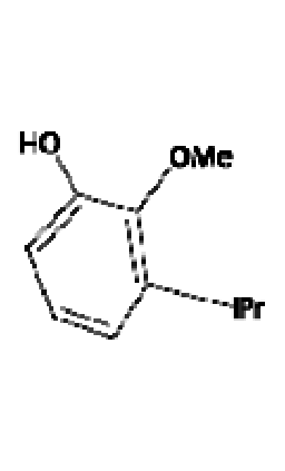 [CH2]C(C)c1cccc(O)c1OC